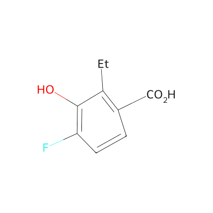 CCc1c(C(=O)O)ccc(F)c1O